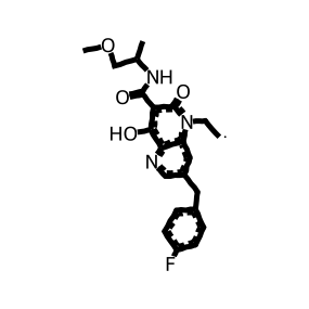 [CH2]Cn1c(=O)c(C(=O)NC(C)COC)c(O)c2ncc(Cc3ccc(F)cc3)cc21